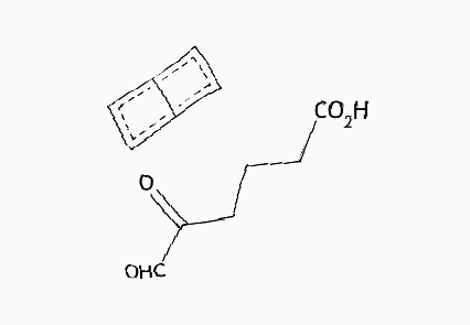 O=CC(=O)CCCC(=O)O.c1cc2ccc1-2